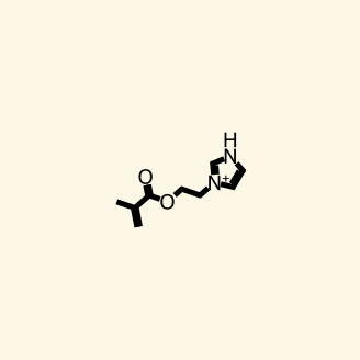 C=C(C)C(=O)OCC[n+]1cc[nH]c1